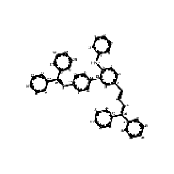 C(=Cc1ccc(Nc2ccccc2)c(-c2ccc(C=C(c3ccccc3)c3ccccc3)cc2)c1)C=C(c1ccccc1)c1ccccc1